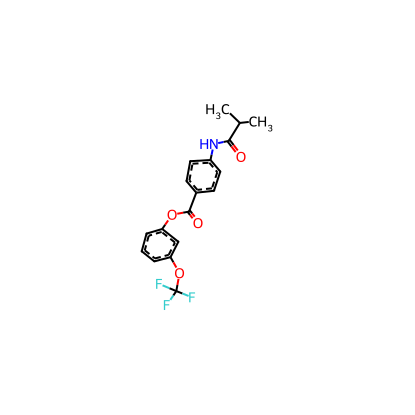 CC(C)C(=O)Nc1ccc(C(=O)Oc2cccc(OC(F)(F)F)c2)cc1